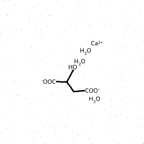 O.O.O.O=C([O-])CC(O)C(=O)[O-].[Ca+2]